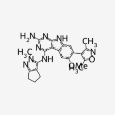 COc1cc2c(cc1-c1c(C)noc1C)[nH]c1nc(N)nc(Nc3c4c(nn3C)CCC4)c12